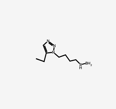 BBCCCCn1nncc1CC